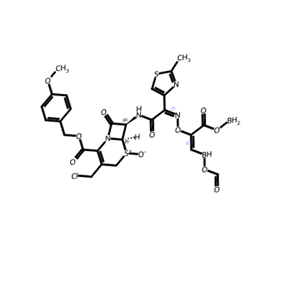 BOC(=O)/C(=C\BOC=O)O/N=C(\C(=O)N[C@@H]1C(=O)N2C(C(=O)OCc3ccc(OC)cc3)=C(CCl)C[S+]([O-])[C@H]12)c1csc(C)n1